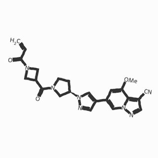 C=CC(=O)N1CC(C(=O)N2CC[C@@H](n3cc(-c4cc(OC)c5c(C#N)cnn5c4)cn3)C2)C1